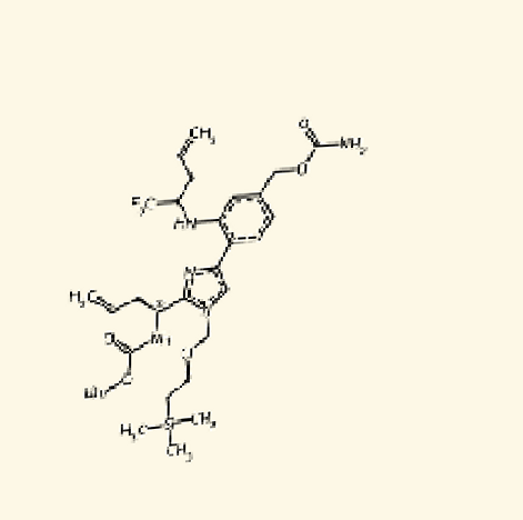 C=CCC(Nc1cc(COC(N)=O)ccc1-c1cn(COCC[Si](C)(C)C)c([C@H](CC=C)NC(=O)OC(C)(C)C)n1)C(F)(F)F